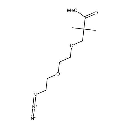 COC(=O)C(C)(C)COCCOCCN=[N+]=[N-]